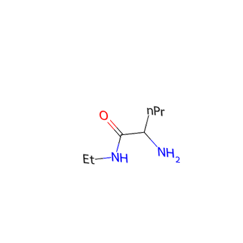 CCCC(N)C(=O)NCC